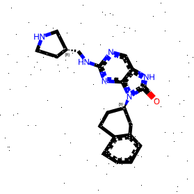 O=c1[nH]c2cnc(NC[C@@H]3CCNC3)nc2n1[C@@H]1CCc2ccccc2C1